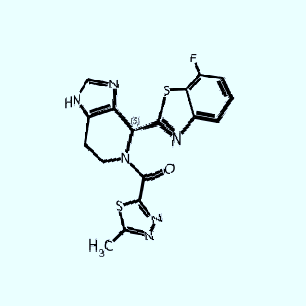 Cc1nnc(C(=O)N2CCc3[nH]cnc3[C@H]2c2nc3cccc(F)c3s2)s1